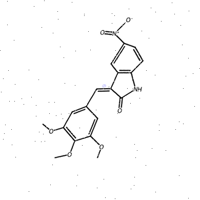 COc1cc(/C=C2\C(=O)Nc3ccc([N+](=O)[O-])cc32)cc(OC)c1OC